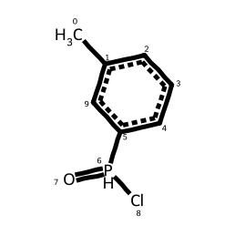 Cc1cccc([PH](=O)Cl)c1